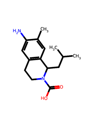 Cc1cc2c(cc1N)CCN(C(=O)O)C2CC(C)C